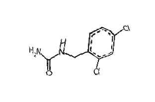 NC(=O)NCc1ccc(Cl)cc1Cl